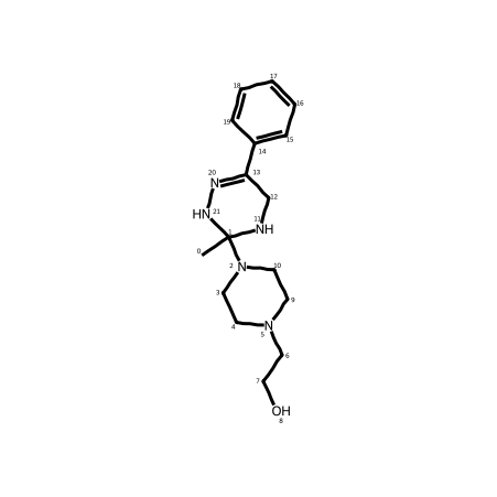 CC1(N2CCN(CCO)CC2)NCC(c2ccccc2)=NN1